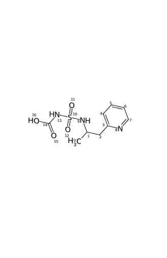 CC(Cc1ccccn1)NS(=O)(=O)NC(=O)O